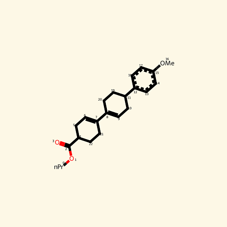 CCCOC(=O)C1CC=C(C2=CCC(c3ccc(OC)cc3)CC2)CC1